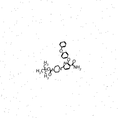 CC(C)(C)OC(=O)N1CCN(c2ccc(C(N)=O)c(Oc3ccc(Oc4ccccc4)cc3)n2)CC1